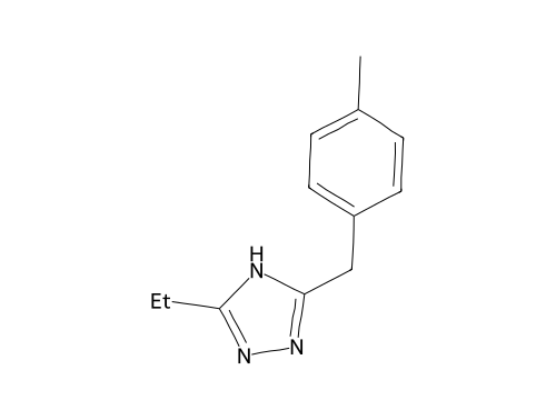 CCc1nnc(Cc2ccc(C)cc2)[nH]1